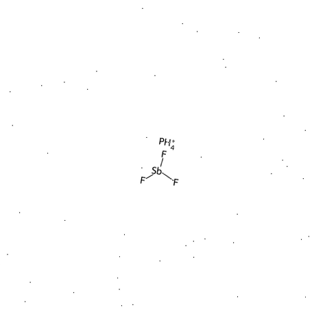 [F][Sb]([F])[F].[PH4+]